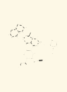 C=CC(=O)N1CCN(c2nc(OC[C@@H]3CCCN3C)nc3c(=O)n(-c4cccc5cccc(C)c45)ncc23)C[C@H]1CC#N